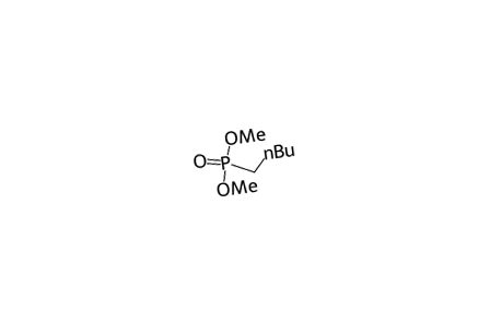 [CH2]CCCCP(=O)(OC)OC